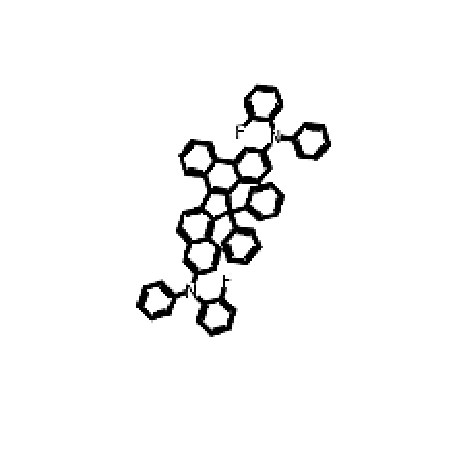 Fc1ccccc1N(c1ccccc1)c1ccc2c3c(ccc2c1)-c1c(c2ccc(N(c4ccccc4)c4ccccc4F)cc2c2ccccc12)C3(c1ccccc1)c1ccccc1